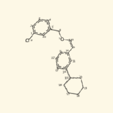 Clc1cccc(CO/N=[C]\c2cccc(C3CCCCC3)c2)c1